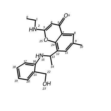 CCNc1cc(=O)c2cc(C)cc(C(C)Nc3ccccc3CO)c2o1